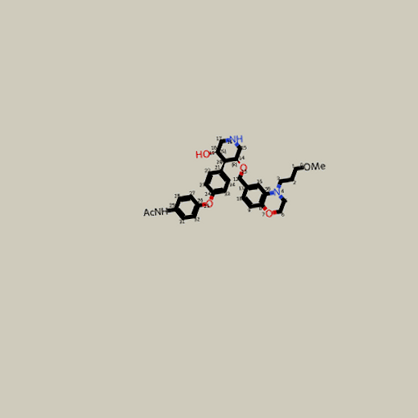 COCCCN1CCOc2ccc(CO[C@H]3CNC[C@@H](O)[C@@H]3c3ccc(Oc4ccc(NC(C)=O)cc4)cc3)cc21